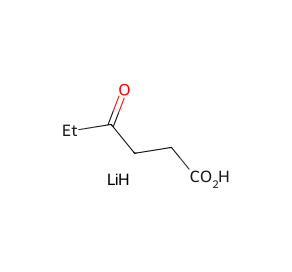 [CH2]CC(=O)CCC(=O)O.[LiH]